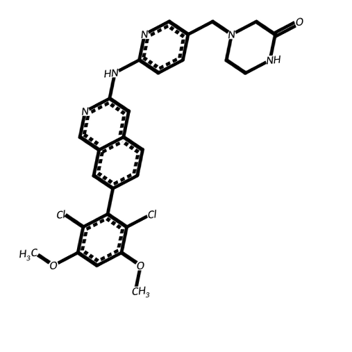 COc1cc(OC)c(Cl)c(-c2ccc3cc(Nc4ccc(CN5CCNC(=O)C5)cn4)ncc3c2)c1Cl